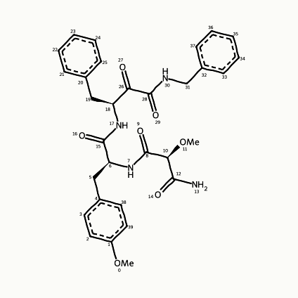 COc1ccc(C[C@H](NC(=O)[C@@H](OC)C(N)=O)C(=O)N[C@@H](Cc2ccccc2)C(=O)C(=O)NCc2ccccc2)cc1